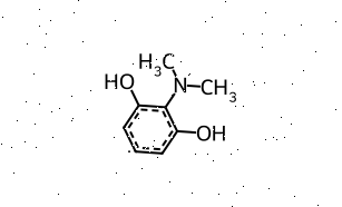 CN(C)c1c(O)c[c]cc1O